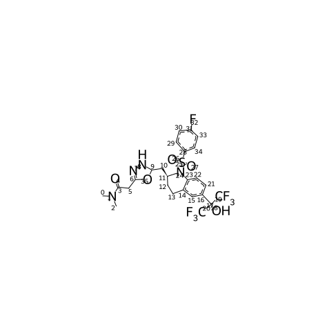 CN(C)C(=O)CC1=NNC(C[C@@H]2CCc3cc(C(O)(C(F)(F)F)C(F)(F)F)ccc3N2S(=O)(=O)c2ccc(F)cc2)O1